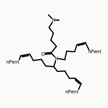 CCCCC/C=C\CCCC(CCC/C=C\CCCCC)N(CCC/C=C\CCCCC)C(=O)CCCCN(C)C